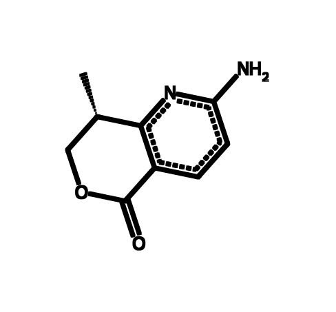 C[C@H]1COC(=O)c2ccc(N)nc21